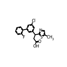 Cc1cnc(C(CC(=O)O)c2cc(Cl)cc(-c3ccccc3F)c2)s1